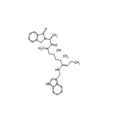 C=C(C[C@H](O)C[C@H](C)C(=CCC)NCc1c[nH]c2ccccc12)C(=O)[C@H](C)N1Cc2ccccc2C1=O